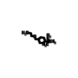 CCCOCC1CCN(C(C)(C)C)CC1